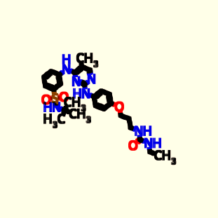 CCNC(=O)NCCCOc1ccc(Nc2ncc(C)c(Nc3cccc(S(=O)(=O)NC(C)(C)C)c3)n2)cc1